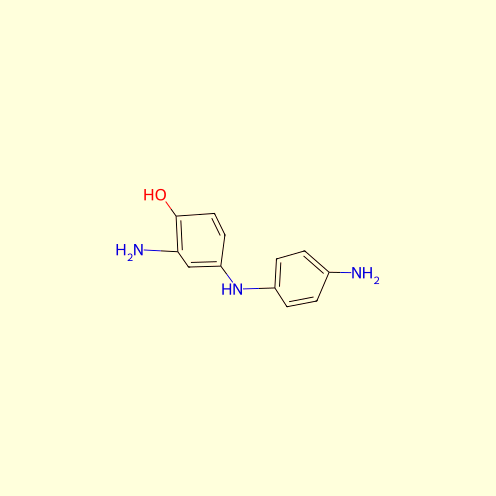 Nc1ccc(Nc2ccc(O)c(N)c2)cc1